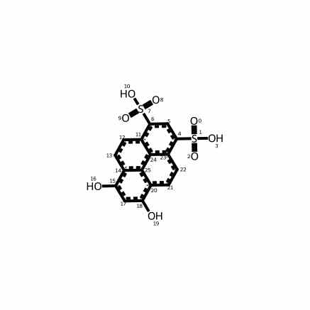 O=S(=O)(O)c1cc(S(=O)(=O)O)c2ccc3c(O)cc(O)c4ccc1c2c43